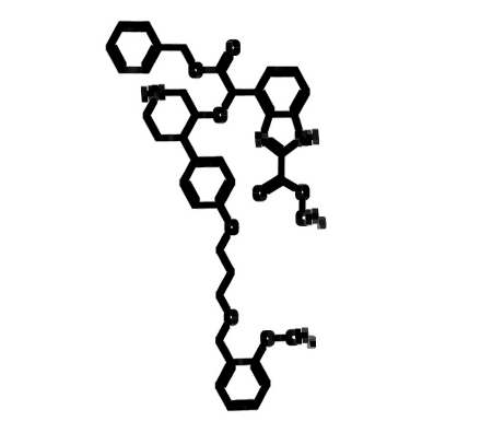 COC(=O)c1nc2c(C(OC3CNCCC3c3ccc(OCCCOCc4ccccc4OC)cc3)C(=O)OCc3ccccc3)cccc2[nH]1